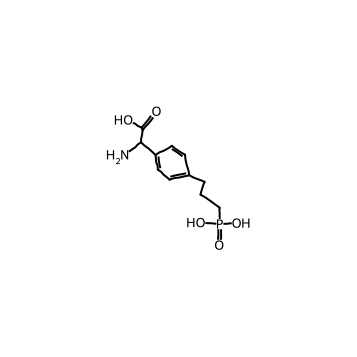 NC(C(=O)O)c1ccc(CCCP(=O)(O)O)cc1